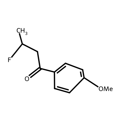 COc1ccc(C(=O)CC(C)F)cc1